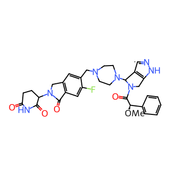 CO[C@@H](C(=O)N1Cc2[nH]n[c]c2C1N1CCN(Cc2cc3c(cc2F)C(=O)N(C2CCC(=O)NC2=O)C3)CC1)c1ccccc1